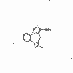 Cc1[nH]n2c1Cc1c(C#N)ncn1-c1ccccc1-2